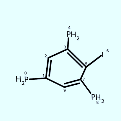 Pc1cc(P)c(I)c(P)c1